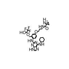 Cc1cc(OCCCNC(=O)C2(N)CC2)ccc1Nc1nc(NC2CCCCC2)c2nc[nH]c2n1.O=C(O)C(F)(F)F